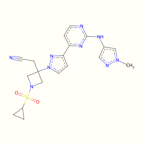 Cn1cc(Nc2nccc(-c3ccn(C4(CC#N)CN(S(=O)(=O)C5CC5)C4)n3)n2)cn1